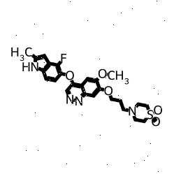 COc1cc2c(Oc3ccc4[nH]c(C)cc4c3F)cnnc2cc1OCCCN1CCS(=O)(=O)CC1